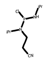 CC(C)NP(Cl)N(CCC#N)C(C)C